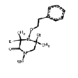 CCC1(C)CN(C(C)(C)C)C(=O)C(C)(CC)N1OCCc1ccccc1